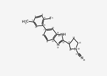 Cc1ccc(F)c(-c2ccc3nc(C4CCN(C#N)C4)[nH]c3c2)c1